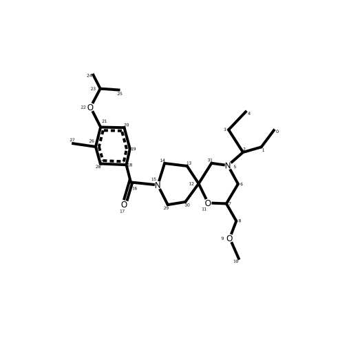 CCC(CC)N1CC(COC)OC2(CCN(C(=O)c3ccc(OC(C)C)c(C)c3)CC2)C1